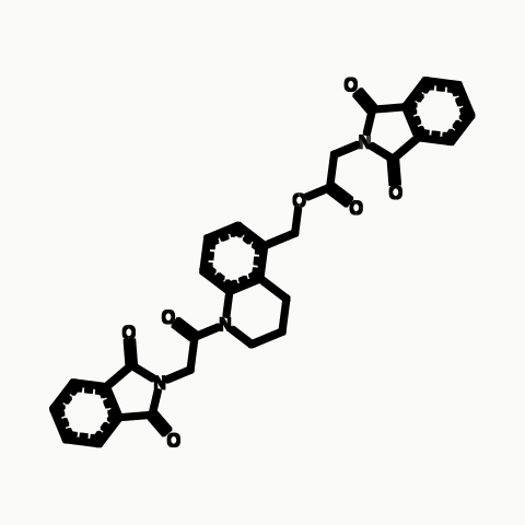 O=C(CN1C(=O)c2ccccc2C1=O)OCc1cccc2c1CCCN2C(=O)CN1C(=O)c2ccccc2C1=O